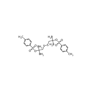 BC(B)(CSSCC(B)(B)OS(=O)(=O)c1ccc(C)cc1)OS(=O)(=O)c1ccc(C)cc1